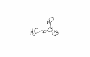 CCCOc1cc(-c2ccccn2)nc(-c2ccccn2)c1